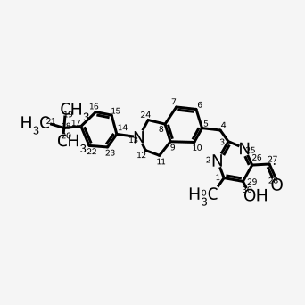 Cc1nc(Cc2ccc3c(c2)CCN(c2ccc(C(C)(C)C)cc2)C3)nc([C]=O)c1O